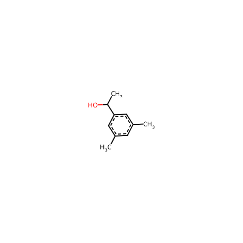 C[C](O)c1cc(C)cc(C)c1